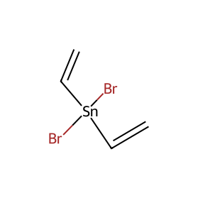 C=[CH][Sn]([Br])([Br])[CH]=C